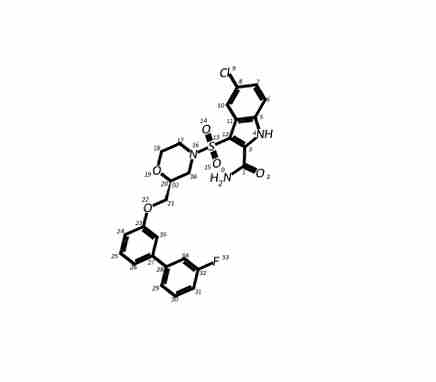 NC(=O)c1[nH]c2ccc(Cl)cc2c1S(=O)(=O)N1CCO[C@H](COc2cccc(-c3cccc(F)c3)c2)C1